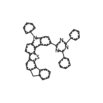 c1ccc(-c2nc(-c3ccccc3)nc(-c3ccc4c(c3)c3c5sc6c7c(ccc6c5ccc3n4-c3ccccc3)Cc3ccccc3-7)n2)cc1